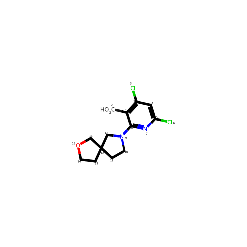 O=C(O)c1c(Cl)cc(Cl)nc1N1CCC2(CCOC2)C1